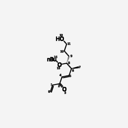 C=CC(=O)/C=C/[C@H](C)[C@@H](CCCO)OCCCC